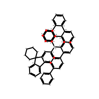 c1ccc(-c2ccc(-c3ccccc3N(c3ccc4c(c3)C3(CCCCC3)c3ccccc3-4)c3ccccc3-c3ccccc3-c3ccccc3-c3ccccc3)cc2)cc1